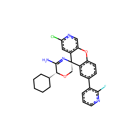 NC1=N[C@]2(CO[C@@H]1C1CCCCC1)c1cc(-c3cccnc3F)ccc1Oc1cnc(Cl)cc12